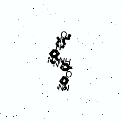 C=CC(=O)N1CCN(c2ccc3ncnc(Nc4ccc(Oc5ccc6c(c5)ncn6C)c(C)c4)c3c2)CC1C